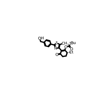 CC[C@@H]1CCC(=O)C(c2nc(-c3ccc(CO)cc3)sc2C)=C1OC(=O)C(C)(C)C